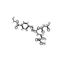 CCOC(=O)c1ccc(N=NC(CC=C(C)C(=O)O)OC(=O)CC(C)=O)cc1